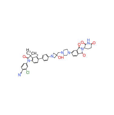 CC1(C)C(=O)N(c2ccc(C#N)c(Cl)c2)c2ccc(-c3ccc(N4CC(O)(CN5CCN(c6ccc7c(c6)C(=O)N(C6CCC(=O)NC6=O)C7=O)CC5)C4)cc3)cc21